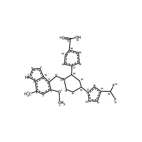 COc1cc(C)c2[nH]ccc2c1CN1CCC(n2cc(C(F)F)cn2)CC1c1ccc(C(=O)O)cc1